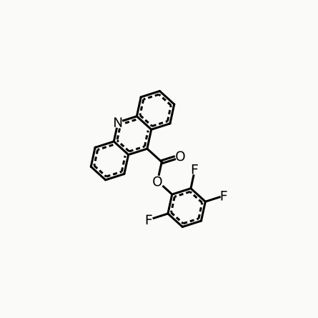 O=C(Oc1c(F)ccc(F)c1F)c1c2ccccc2nc2ccccc12